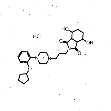 Cl.O=C1C2C(O)CCC(O)C2C(=O)N1CCCN1CCN(c2ccccc2OC2CCCC2)CC1